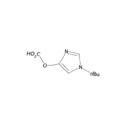 CCCCn1cnc(OC(=O)O)c1